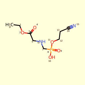 CCOC(=O)CNCP(=O)(O)OCCC#N